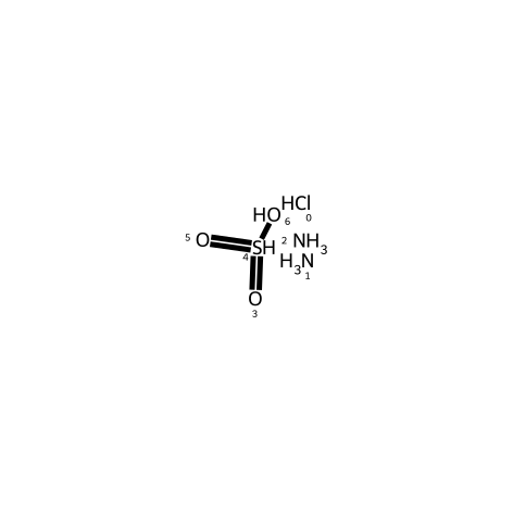 Cl.N.N.O=[SH](=O)O